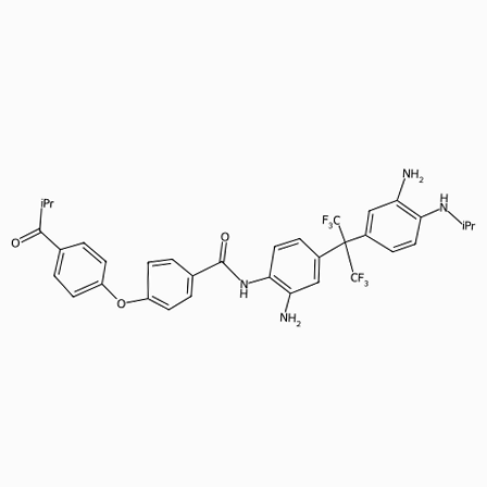 CC(C)Nc1ccc(C(c2ccc(NC(=O)c3ccc(Oc4ccc(C(=O)C(C)C)cc4)cc3)c(N)c2)(C(F)(F)F)C(F)(F)F)cc1N